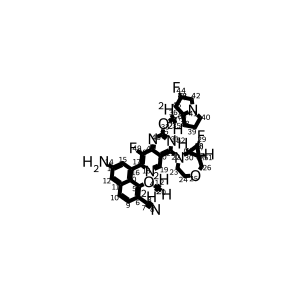 [2H]C([2H])([2H])Oc1c(C#N)ccc2cc(N)cc(-c3ncc4c(N5CCOC[C@H]6[C@H](F)[C@H]65)nc(OC([2H])([2H])[C@@]56CCCN5C[C@H](F)C6)nc4c3F)c12